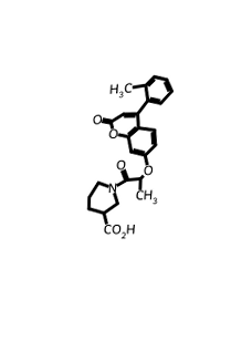 Cc1ccccc1-c1cc(=O)oc2cc(OC(C)C(=O)N3CCCC(C(=O)O)C3)ccc12